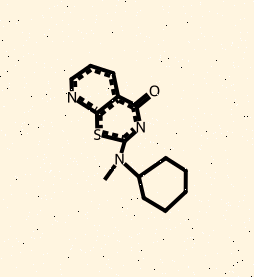 CN(c1nc(=O)c2cccnc2s1)C1CCCCC1